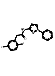 O=C(Cc1cc(F)ccc1F)Nc1ccn(-c2ccccc2)n1